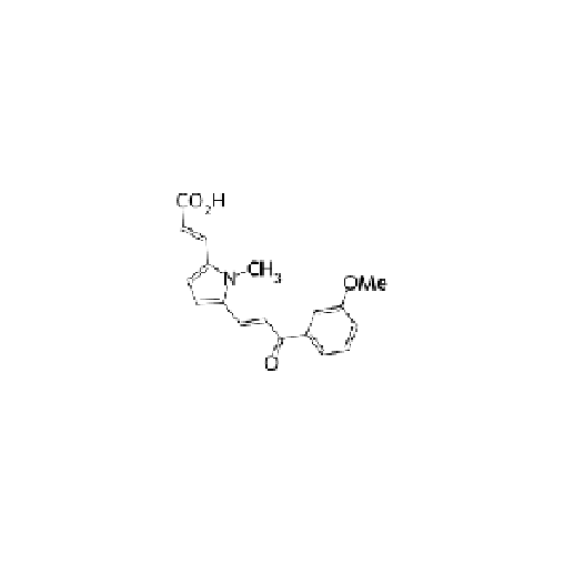 COc1cccc(C(=O)/C=C/c2ccc(/C=C/C(=O)O)n2C)c1